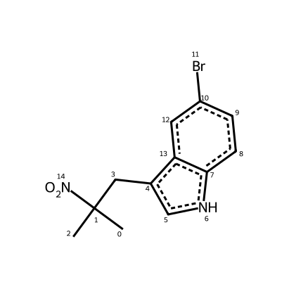 CC(C)(Cc1c[nH]c2ccc(Br)cc12)[N+](=O)[O-]